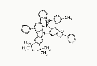 Cc1ccc(Nc2ccccc2-c2cc(-c3ccccc3)c3c4cc5c(cc4n4c3c2Bc2cc3oc(-c6ccccc6)cc3cc2-4)C(C)(C)CCC5(C)C)cc1